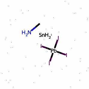 CN.[I][Pb]([I])([I])[I].[SnH2]